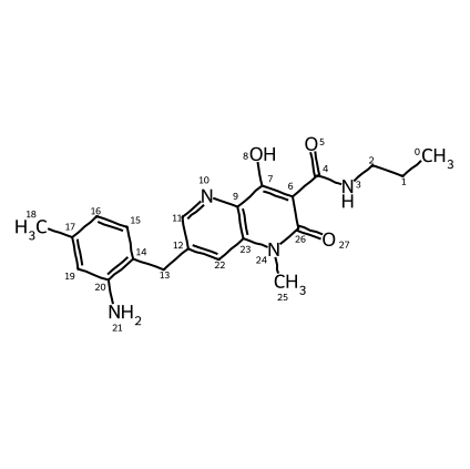 CCCNC(=O)c1c(O)c2ncc(Cc3ccc(C)cc3N)cc2n(C)c1=O